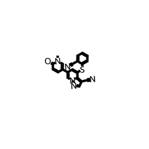 Cn1cc(-c2cc(Sc3ccccc3C#N)c3c(C#N)cnn3c2)ccc1=O